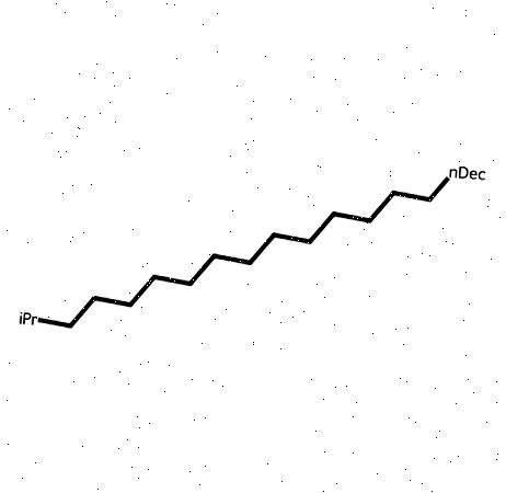 [CH2]CCCCCCCCCCCCCCCCCCCCCCC([CH2])C